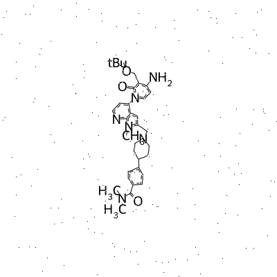 CN(C)C(=O)c1ccc(C2CCN(Cc3cc4c(-n5ccc(N)c(COC(C)(C)C)c5=O)ccnc4n3C)CC2)cc1